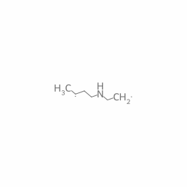 [CH2]CNCC[CH]C